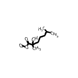 CC(C)CCCC(C)(C)C(=O)OCl